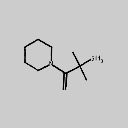 C=C(N1CCCCC1)C(C)(C)[SiH3]